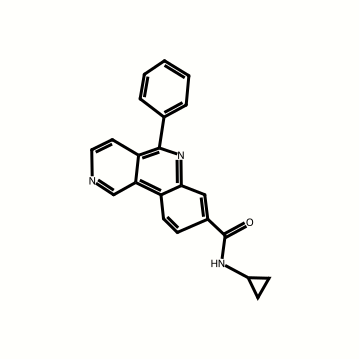 O=C(NC1CC1)c1ccc2c(c1)nc(-c1ccccc1)c1ccncc12